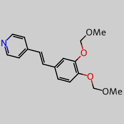 COCOc1ccc(/C=C/c2ccncc2)cc1OCOC